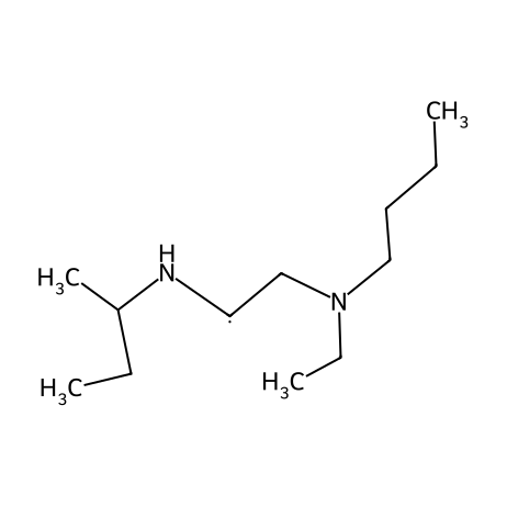 CCCCN(CC)C[CH]NC(C)CC